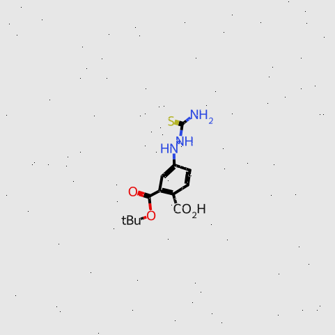 CC(C)(C)OC(=O)c1cc(NNC(N)=S)ccc1C(=O)O